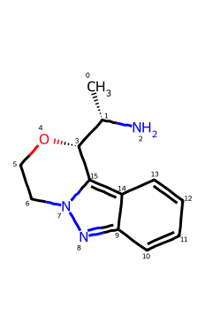 C[C@H](N)[C@H]1OCCn2nc3ccccc3c21